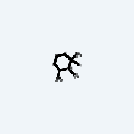 C[C@H]1CCC[C@](C)(Cl)N1C